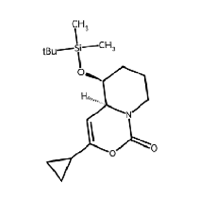 CC(C)(C)[Si](C)(C)O[C@H]1CCCN2C(=O)OC(C3CC3)=C[C@@H]12